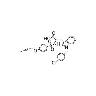 CC#CCOc1ccc(S(=O)(=O)N[C@@H](Cc2cn(Cc3ccc(Cl)cc3)c3ccccc23)C(=O)O)cc1